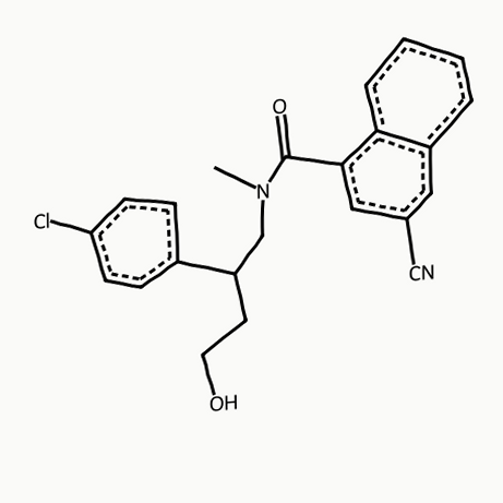 CN(CC(CCO)c1ccc(Cl)cc1)C(=O)c1cc(C#N)cc2ccccc12